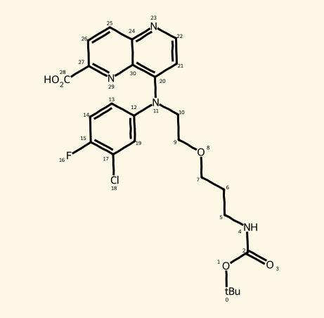 CC(C)(C)OC(=O)NCCCOCCN(c1ccc(F)c(Cl)c1)c1ccnc2ccc(C(=O)O)nc12